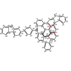 c1cc(-c2ccc3c(c2)sc2ccccc23)c(-c2cccc3ccccc23)c(N(c2ccc(-c3ccc4c(c3)oc3ccccc34)cc2)c2ccc3c4ccccc4c4ccccc4c3c2)c1